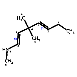 CC/C=C/C(C)(C)/C=C/NC